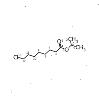 CC(C)OC(=O)CCCCCCCCl